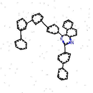 c1ccc(-c2ccc(-c3nc(-c4ccc(-c5cccc(-c6cccc(-c7ccccc7)c6)c5)cc4)c4c(ccc5ccccc54)n3)cc2)cc1